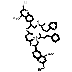 CCOc1cc(OC)c2cc(C(CNC(C)CCc3ccccc3)OC(=O)/C=C\C(=O)OC(CNC(C)CCc3ccccc3)c3ccc4nc(OCC)cc(OC)c4c3)ccc2n1